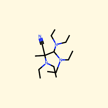 CCN(CC)C(N(CC)CC)C(C)(C#N)N(CC)CC